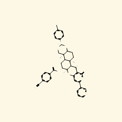 Cc1ccc([C@@H]2OC[C@@]3(C)C4C[C@H](OC(=O)c5ccc(C#N)cc5)[C@@]5(C)Oc6cc(-c7cccnc7)oc(=O)c6[C@H](O)C5[C@@]4(C)CC[C@@H]3O2)cc1